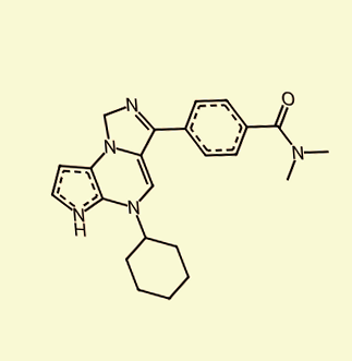 CN(C)C(=O)c1ccc(C2=NCN3C2=CN(C2CCCCC2)c2[nH]ccc23)cc1